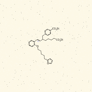 CCOC(=O)CCCCC(/C=C/c1ccccc1OCCCCCc1ccco1)Cc1ccc(C(=O)OCC)cc1